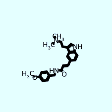 COc1ccc(CNC(=O)C=Cc2ccc3[nH]cc(CCN(C)C)c3c2)cc1